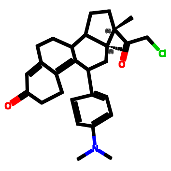 CN(C)c1ccc(C2C[C@@]3(C)C(CC[C@]3(C)C(=O)CCl)C3CCC4=CC(=O)CCC4=C23)cc1